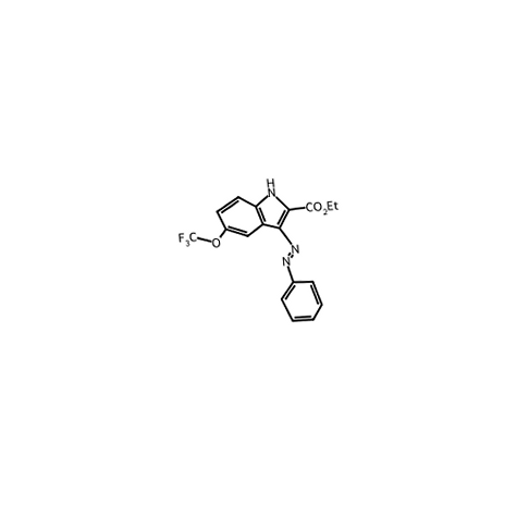 CCOC(=O)c1[nH]c2ccc(OC(F)(F)F)cc2c1N=Nc1ccccc1